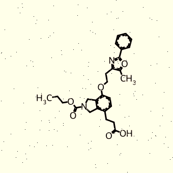 CCCOC(=O)N1Cc2c(CCC(=O)O)ccc(OCCc3nc(-c4ccccc4)oc3C)c2C1